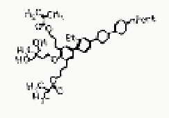 C=C(C)C(=O)OCCCc1cc(-c2ccc(C3CCC(C4CCC(CCCCC)CC4)CC3)cc2CC)cc(CCCOC(=O)C(=C)C)c1OCCC(C)(CO)CO